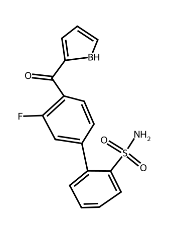 NS(=O)(=O)c1ccccc1-c1ccc(C(=O)C2=CC=CB2)c(F)c1